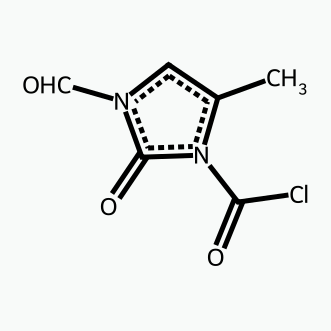 Cc1cn(C=O)c(=O)n1C(=O)Cl